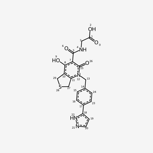 O=C(O)CNC(=O)c1c(O)c2c(n(Cc3ccc(-c4ccn[nH]4)cc3)c1=O)CSC2